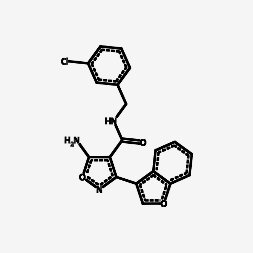 Nc1onc(-c2coc3ccccc23)c1C(=O)NCc1cccc(Cl)c1